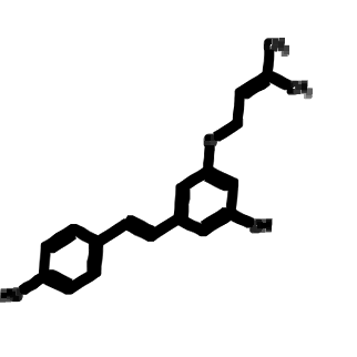 CC(C)=CCOc1cc(O)cc(C=Cc2ccc(O)cc2)c1